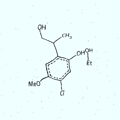 CCO.COc1cc(C(C)CO)c(O)cc1Cl